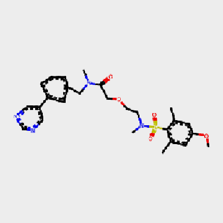 COc1cc(C)c(S(=O)(=O)N(C)CCOCC(=O)N(C)Cc2cccc(-c3cncnc3)c2)c(C)c1